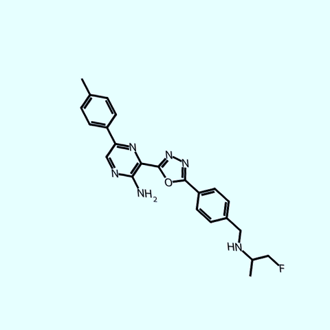 Cc1ccc(-c2cnc(N)c(-c3nnc(-c4ccc(CNC(C)CF)cc4)o3)n2)cc1